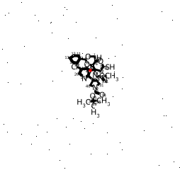 CO[C@H]1[C@@H](S)O[C@@H]2COC(c3ccccc3)O[C@@H]2C1(N=[N+]=[N-])c1cc(Cl)cnc1C1=CCN(C(=O)OC(C)(C)C)C1